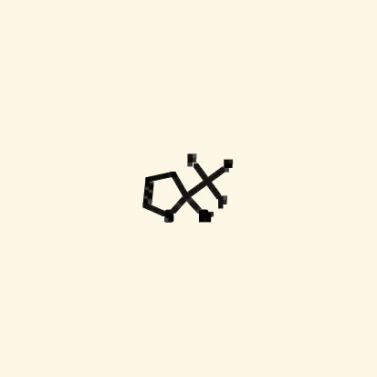 FC(F)(F)C1(Br)CC=CS1